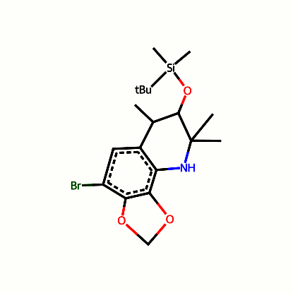 CC1c2cc(Br)c3c(c2NC(C)(C)C1O[Si](C)(C)C(C)(C)C)OCO3